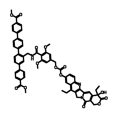 CCc1c2c(nc3ccc(OC(=O)OCc4cc(OC)c(C(=O)NCc5cc(-c6ccc(C(=O)OC)cc6)ccc5-c5ccc(-c6ccc(C(=O)OC)cc6)cc5)c(OC)c4)cc13)-c1cc3c(c(=O)n1C2)COC(=O)C3(O)CC